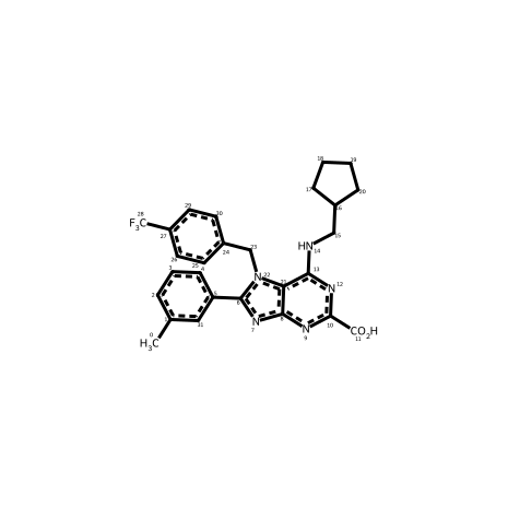 Cc1cccc(-c2nc3nc(C(=O)O)nc(NCC4CCCC4)c3n2Cc2ccc(C(F)(F)F)cc2)c1